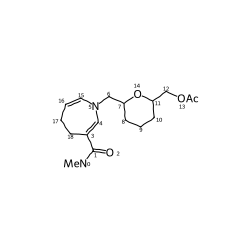 CNC(=O)C1=CN(CC2CCCC(COC(C)=O)O2)C=CCC1